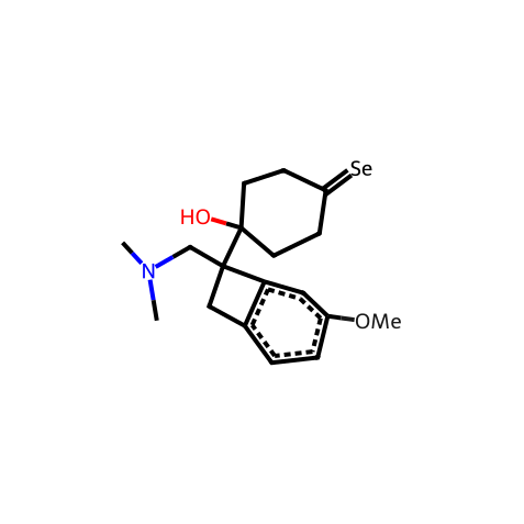 COc1ccc2c(c1)C(CN(C)C)(C1(O)CCC(=[Se])CC1)C2